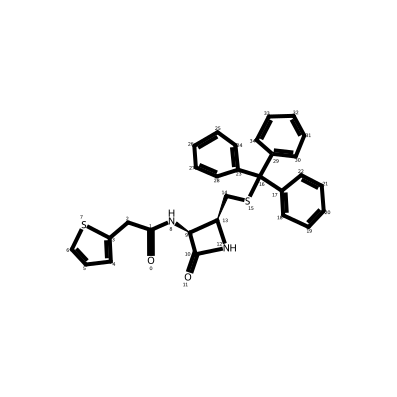 O=C(Cc1cccs1)N[C@@H]1C(=O)N[C@@H]1CSC(c1ccccc1)(c1ccccc1)c1ccccc1